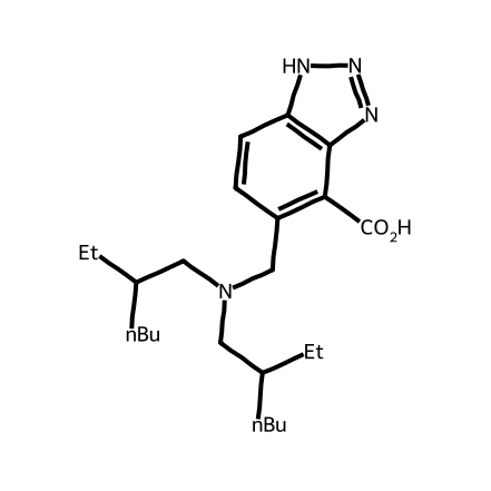 CCCCC(CC)CN(Cc1ccc2[nH]nnc2c1C(=O)O)CC(CC)CCCC